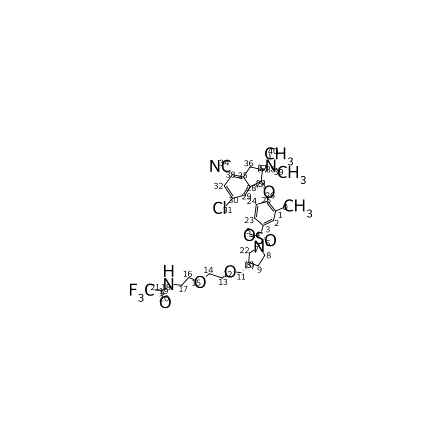 Cc1cc(S(=O)(=O)N2CC[C@H](COCCOCCNC(=O)C(F)(F)F)C2)ccc1O[C@H]1c2cc(Cl)cc(C#N)c2C[C@@H]1N(C)C